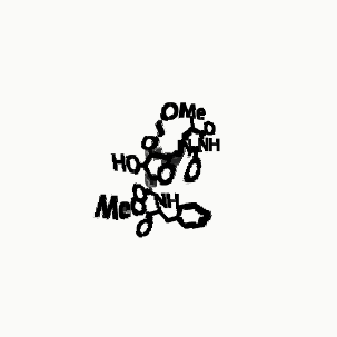 COCCO[C@H]1C(O)[C@@H](C(=O)NC(Cc2ccccc2)C(=O)OC)O[C@@H]1n1cc(C)c(=O)[nH]c1=O